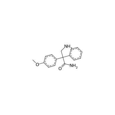 COc1ccc(C(CN)(C(N)=O)c2ccccc2)cc1